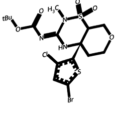 CN1/C(=N\C(=O)OC(C)(C)C)N[C@@]2(c3sc(Br)cc3Cl)CCOCC2S1(=O)=O